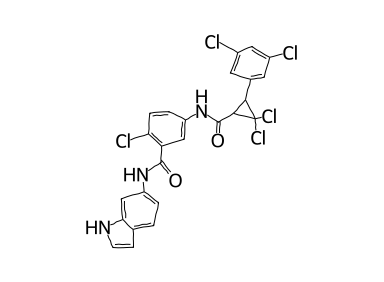 O=C(Nc1ccc2cc[nH]c2c1)c1cc(NC(=O)C2C(c3cc(Cl)cc(Cl)c3)C2(Cl)Cl)ccc1Cl